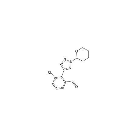 O=Cc1cccc(Cl)c1-c1cnn(C2CCCCO2)c1